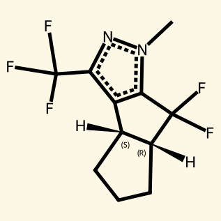 Cn1nc(C(F)(F)F)c2c1C(F)(F)[C@@H]1CCC[C@H]21